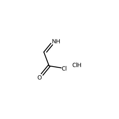 Cl.N=CC(=O)Cl